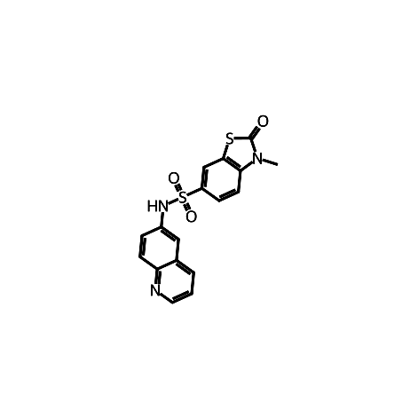 Cn1c(=O)sc2cc(S(=O)(=O)Nc3ccc4ncccc4c3)ccc21